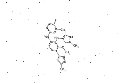 COc1c(-c2nnn(C)n2)ccc(Nc2cc(C)c(F)cn2)c1NC1=CNN(C)C1